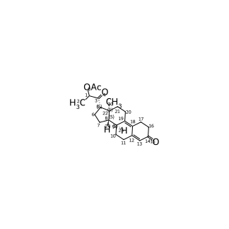 CC(=O)OC(C)C(=O)[C@H]1CC[C@H]2[C@@H]3CCC4=CC(=O)CCC4=C3CC[C@]12C